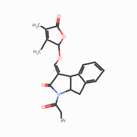 CC1=C(C)C(O/C=C2/C(=O)N(C(=O)CC(C)C)C3Cc4ccccc4C23)OC1=O